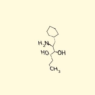 CCC[C@H](O)[C@H](O)[C@@H](N)CC1CCCCC1